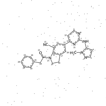 Cn1nccc1Nc1nccc(-c2cc(C#N)c3c(c2)CCN3C(=O)Cc2ccccc2)n1